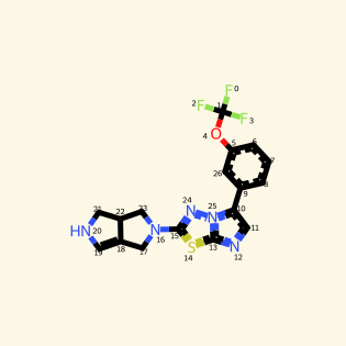 FC(F)(F)Oc1cccc(-c2cnc3sc(N4CC5=CNCC5C4)nn23)c1